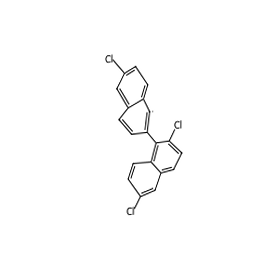 Clc1ccc2[c]c(-c3c(Cl)ccc4cc(Cl)ccc34)ccc2c1